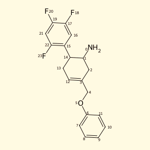 NC1CC(COc2ccccc2)=CCC1c1cc(F)c(F)cc1F